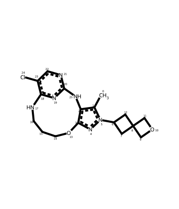 Cc1c2c(nn1C1CC3(COC3)C1)OCCCNc1nc(ncc1Cl)N2